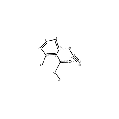 COC(=O)c1c(C)cccc1CC#N